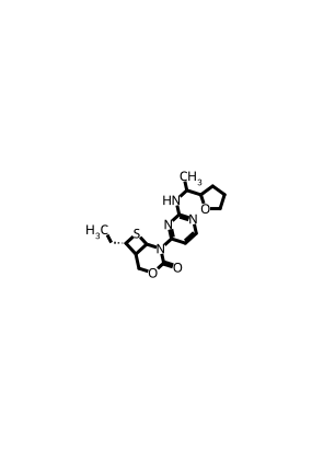 CC[C@@H]1SC2C1COC(=O)N2c1ccnc(NC(C)C2CCCO2)n1